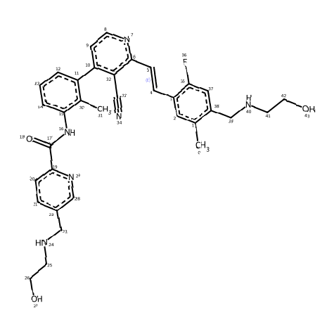 Cc1cc(/C=C/c2nccc(-c3cccc(NC(=O)c4ccc(CNCCO)cn4)c3C)c2C#N)c(F)cc1CNCCO